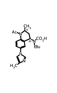 CC(=O)N1c2ccc(-n3cnc(C)c3)cc2[C@H](N(C(=O)O)C(C)(C)C)C[C@@H]1C